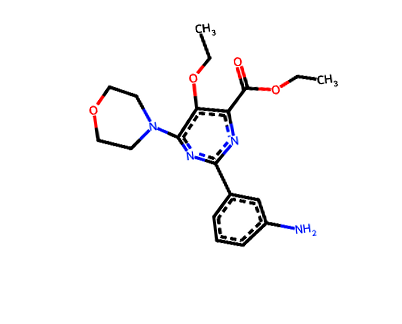 CCOC(=O)c1nc(-c2cccc(N)c2)nc(N2CCOCC2)c1OCC